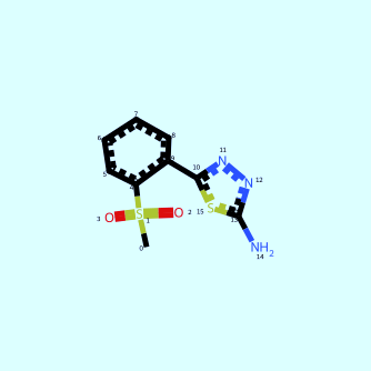 CS(=O)(=O)c1ccccc1-c1nnc(N)s1